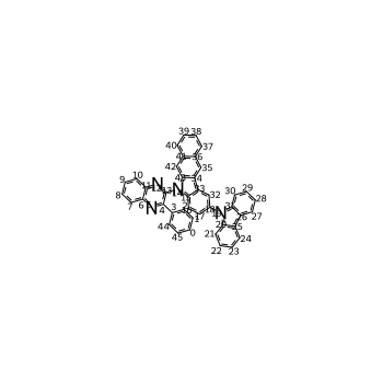 c1ccc(-c2nc3ccccc3nc2-n2c3ccc(-n4c5ccccc5c5ccccc54)cc3c3cc4ccccc4cc32)cc1